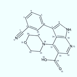 N#Cc1cccc(-c2c[nH]c3ncc(C(=O)O)c(N4CCOCC4)c23)c1